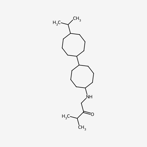 CC(C)C(=O)CNC1CCCC(C2CCCC(C(C)C)CCC2)CCC1